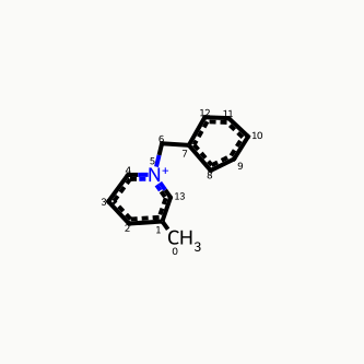 Cc1ccc[n+](Cc2ccccc2)c1